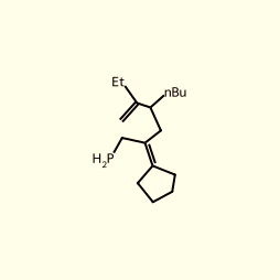 C=C(CC)C(CCCC)CC(CP)=C1CCCC1